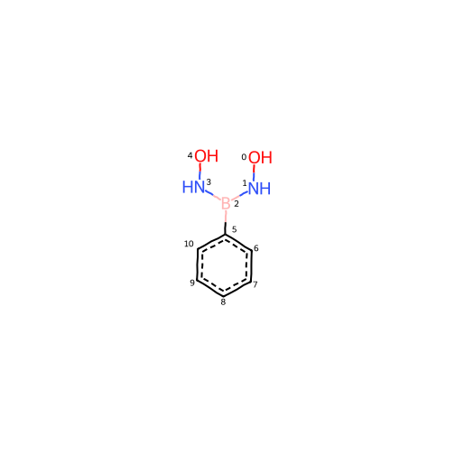 ONB(NO)c1ccccc1